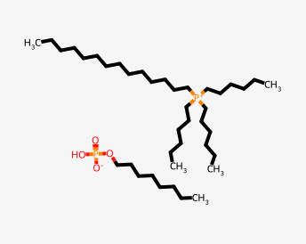 CCCCCCCCCCCCCC[P+](CCCCCC)(CCCCCC)CCCCCC.CCCCCCCCOP(=O)([O-])O